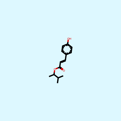 CC(C)C(C)OC(=O)C=Cc1ccc(O)cc1